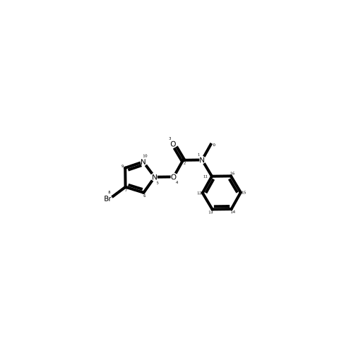 CN(C(=O)On1cc(Br)cn1)c1ccccc1